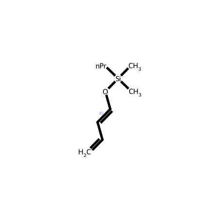 C=C/C=C/O[Si](C)(C)CCC